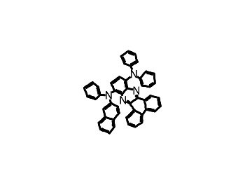 c1ccc(N(c2ccccc2)c2ccc(N(c3ccccc3)c3ccc4ccccc4c3)c3nc4c5ccccc5c5ccccc5c4nc23)cc1